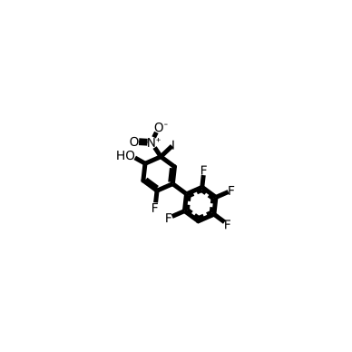 O=[N+]([O-])C1(I)C=C(c2c(F)cc(F)c(F)c2F)C(F)=CC1O